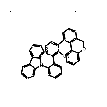 N#Cc1c(-c2ccccc2-n2c3ccccc3c3ccccc32)cccc1-c1cccc2c1-c1ccccc1OC2